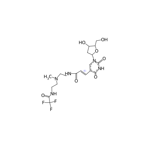 CN(CCNC(=O)/C=C/c1cn(C2CC(O)C(CO)O2)c(=O)[nH]c1=O)CCNC(=O)C(F)(F)F